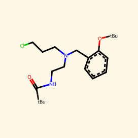 CC(C)(C)Oc1ccccc1CN(CCCCl)CCNC(=O)C(C)(C)C